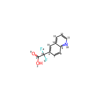 O=C(O)C(F)(F)c1ccc2ncccc2c1